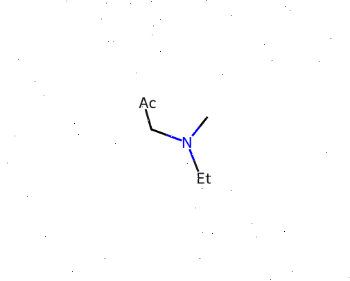 CCN(C)CC(C)=O